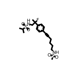 CC(C)S(=O)(=O)NCC(C)(F)c1ccc(C#CCCCCNS(C)(=O)=O)cc1